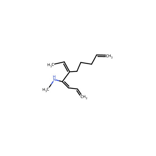 C=C/C=C(NC)\C(=C/C)CCCC=C